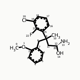 COc1ccccc1CC(C)(C[C@H](N)O)c1cccc(Cl)c1F